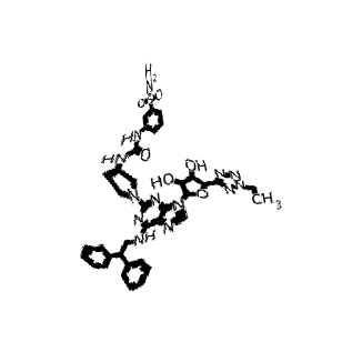 CCn1nnc(C2OC(n3cnc4c(NCC(c5ccccc5)c5ccccc5)nc(N5CCC(NC(=O)Nc6cccc(S(N)(=O)=O)c6)C5)nc43)C(O)C2O)n1